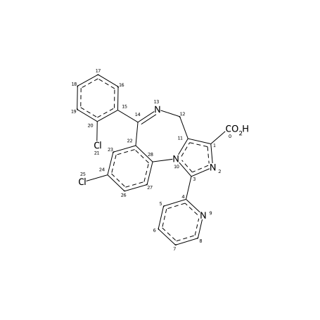 O=C(O)c1nc(-c2ccccn2)n2c1CN=C(c1ccccc1Cl)c1cc(Cl)ccc1-2